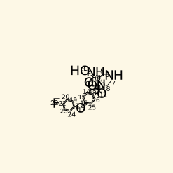 O=C(NO)[C@H]1CNCCN1S(=O)(=O)c1ccc(Oc2ccc(F)cc2)cc1